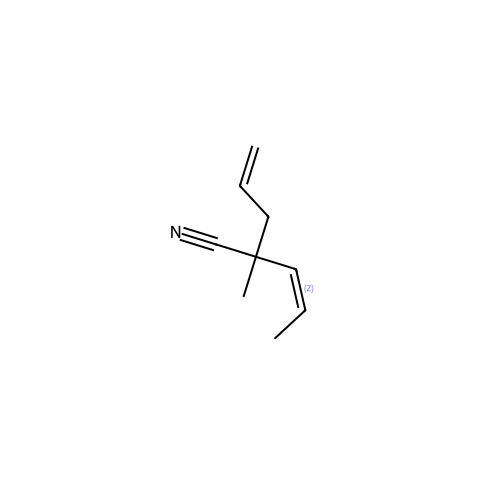 C=CCC(C)(C#N)/C=C\C